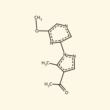 COc1cncc(-n2ncc(C(C)=O)c2C)n1